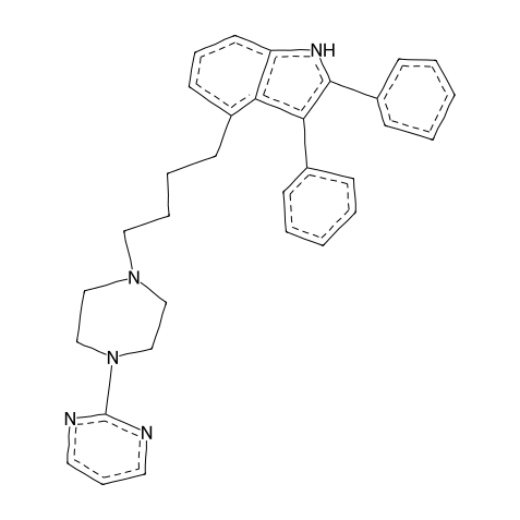 c1ccc(-c2[nH]c3cccc(CCCCN4CCN(c5ncccn5)CC4)c3c2-c2ccccc2)cc1